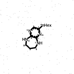 CCCCCCc1cnc2c(n1)NCCCN2